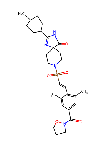 Cc1cc(C(=O)N2CCCO2)cc(C)c1C=CS(=O)(=O)N1CCC2(CC1)N=C(C1CCC(C)CC1)NC2=O